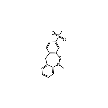 CN1Sc2cc(S(C)(=O)=O)ccc2Cc2ccccc21